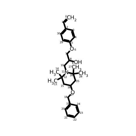 C=Cc1ccc(OCC(O)CN2C(C)(C)CC(OCc3ccccc3)CC2(C)C)cc1